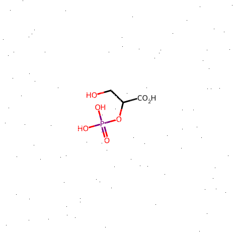 O=C(O)C(CO)OP(=O)(O)O